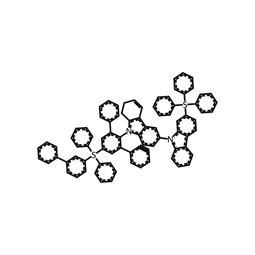 c1cccc(-c2cc(S(c3ccccc3)(c3ccccc3)c3cccc(-c4ccccc4)c3)cc(-c3ccccc3)c2-n2c3c(c4cc(-n5c6ccccc6c6ccc(S(c7ccccc7)(c7ccccc7)c7ccccc7)cc65)ccc42)C=CCC3)c#1